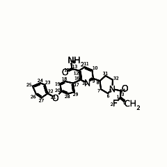 C=C(F)C(=O)N1CCC(c2ccc(C(N)=O)c(-c3ccc(Oc4ccccc4)cc3)n2)CC1